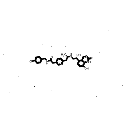 C[C@H](Cc1ccc(CC(=O)NCc2ccc(Cl)cc2)cc1)NC[C@H](O)c1ccc(O)c2[nH]c(=O)ccc12